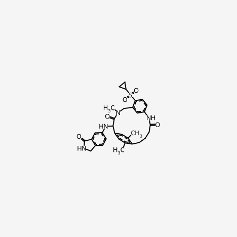 Cc1cc2cc(C)c1CCCC(=O)Nc1ccc(S(=O)(=O)C3CC3)c(c1)CN(C)C(=O)C2Nc1ccc2c(c1)C(=O)NC2